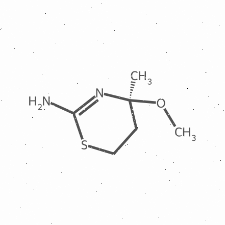 CO[C@@]1(C)CCSC(N)=N1